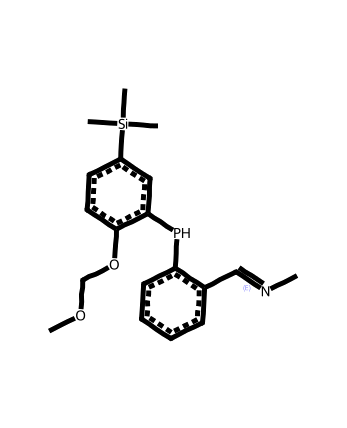 C/N=C/c1ccccc1Pc1cc([Si](C)(C)C)ccc1OCOC